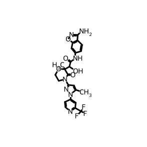 Cc1cc(N2CCOC(C)(C(O)C(=O)Nc3ccc4c(N)noc4c3)C2=O)nn1-c1ccnc(C(F)(F)F)c1